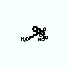 CCCCC=Cc1c2c(cc3c(=O)cc(C(=O)O)oc13)CCCC2